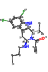 C#CC(=O)N1[C@@H](NCCCC)Cc2c([nH]c3c(F)cc(F)cc23)[C@@H]1C(C)C